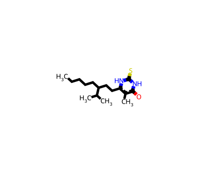 CCCCCC(CCc1[nH]c(=S)[nH]c(=O)c1C)C(C)C